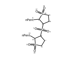 CCCCCC1C(S(=O)(=O)C2CCS(=O)(=O)C2CCCCC)CCS1(=O)=O